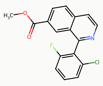 COC(=O)c1ccc2ccnc(-c3c(F)cccc3Cl)c2c1